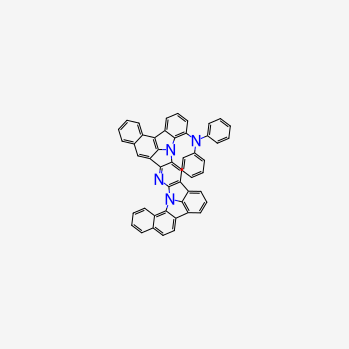 c1ccc(N(c2ccccc2)c2cccc3c4c5ccccc5cc5c6nc7c(cc6n(c23)c54)c2cccc3c4ccc5ccccc5c4n7c23)cc1